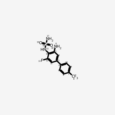 Nc1cc(-c2ccc(C(F)(F)F)cc2)cc(F)c1NS(N)(=O)=O